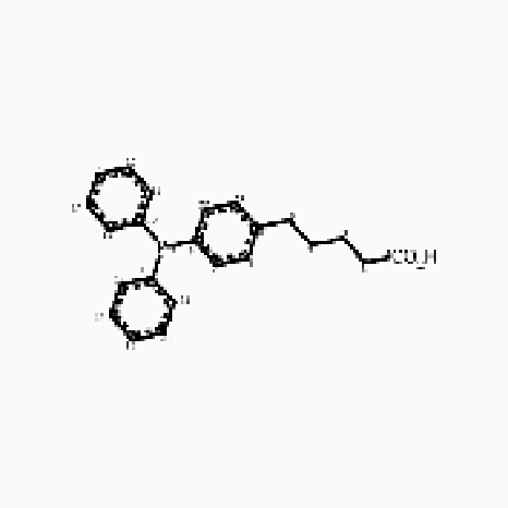 O=C(O)CCCCc1ccc(P(c2ccccc2)c2ccccc2)cc1